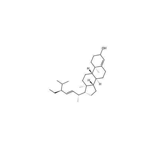 CC[C@H](/C=C/[C@@H](C)[C@H]1CC[C@H]2[C@@H]3CCC4=CC(O)CC[C@]4(C)[C@H]3CC[C@]12C)C(C)C